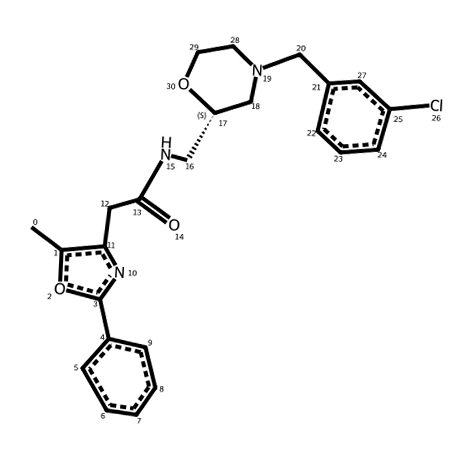 Cc1oc(-c2ccccc2)nc1CC(=O)NC[C@H]1CN(Cc2cccc(Cl)c2)CCO1